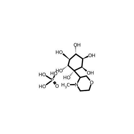 CN1CCOCC1[C@]1(O)[C@H](O)[C@H](O)[C@@H](O)[C@H](O)[C@H]1O.O=P(O)(O)O